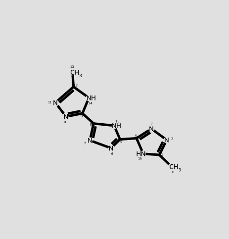 Cc1nnc(-c2nnc(-c3nnc(C)[nH]3)[nH]2)[nH]1